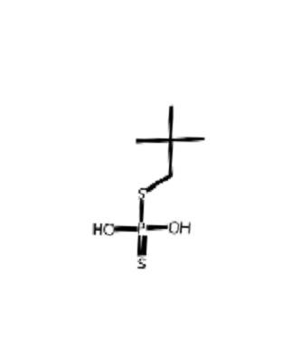 CC(C)(C)CSP(O)(O)=S